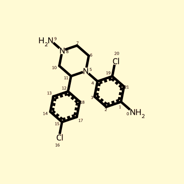 Nc1ccc(N2CCN(N)CC2c2ccc(Cl)cc2)c(Cl)c1